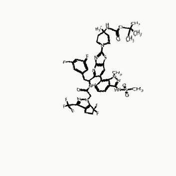 Cn1nc(NS(C)(=O)=O)c2cccc(-c3cc4sc(N5CCC(C)(NC(=O)OC(C)(C)C)CC5)nc4nc3C(Cc3cc(F)cc(F)c3)NC(=O)Cn3nc(C(F)(F)F)c4c3C(F)(F)CC4)c21